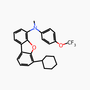 CN(c1ccc(OC(F)(F)F)cc1)c1cccc2c1oc1c(C3CCCCC3)cccc12